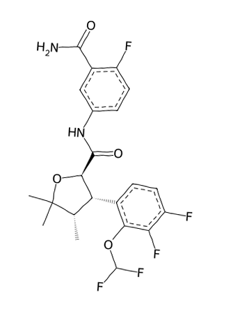 C[C@H]1[C@@H](c2ccc(F)c(F)c2OC(F)F)[C@H](C(=O)Nc2ccc(F)c(C(N)=O)c2)OC1(C)C